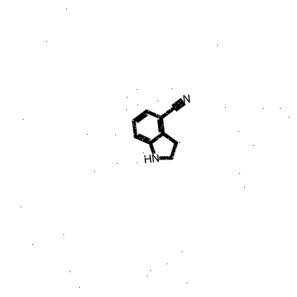 N#Cc1cccc2c1[CH]CN2